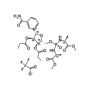 CCC(=O)O[C@@H]1[C@H](OC(=O)CC)[C@@H](COP(=O)(N[C@@H](C)C(=O)OC)N[C@@H](C)C(=O)OC)O[C@H]1[n+]1cccc(C(N)=O)c1.O=C([O-])C(F)(F)F